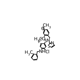 COc1ccc(CN(Sc2cc(Cl)c(NCc3ccccc3C)cc2F)c2nccs2)c(OC)c1